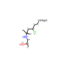 CCCCCCCCCC(Cl)CC(C)(C)NCC(C)O